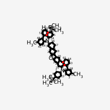 Cc1ccc(N(c2ccc([Si](C)(C)C)cc2)c2ccc3cc4c(cc3c2)oc2cc3cc(N(c5ccc([Si](C)(C)C)cc5)c5ccc(C)cc5-c5ccccc5)ccc3cc24)c(-c2ccccc2)c1